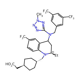 CC[C@@H]1CC(N(Cc2cc(C(F)(F)F)cc(C(F)(F)F)c2)c2nnn(C)n2)c2cc(C(F)(F)F)ccc2N1C[C@H]1CC[C@H](CC(=O)O)CC1